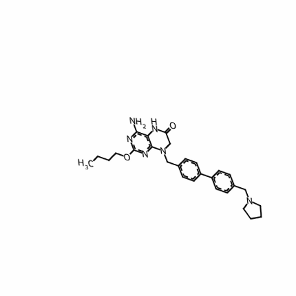 CCCCOc1nc(N)c2c(n1)N(Cc1ccc(-c3ccc(CN4CCCC4)cc3)cc1)CC(=O)N2